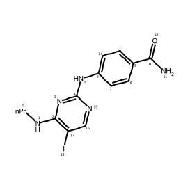 CCCNc1nc(Nc2ccc(C(N)=O)cc2)ncc1I